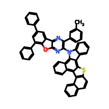 Cc1cccc(-c2nc3c(nc2-n2c4ccccc4c4c5sc6ccc7ccccc7c6c5c5ccccc5c42)oc2c(-c4ccccc4)cc(-c4ccccc4)cc23)c1